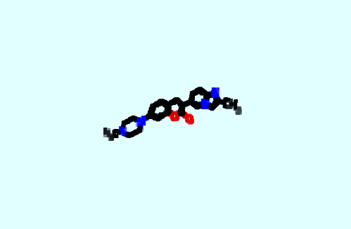 Cc1cn2cc(-c3cc4ccc(N5CCN(C)CC5)cc4oc3=O)ccc2n1